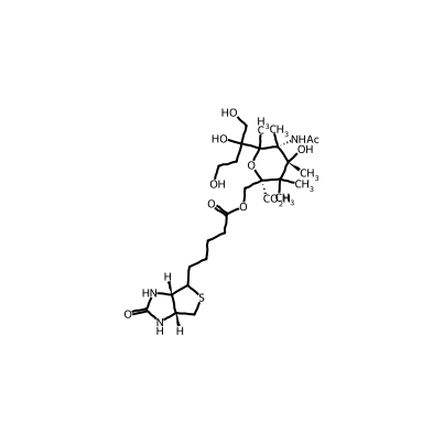 CC(=O)N[C@@]1(C)C(C)(C(O)(CO)CCO)O[C@@](COC(=O)CCCCC2SC[C@@H]3NC(=O)N[C@H]23)(C(=O)O)C(C)(C)[C@@]1(C)O